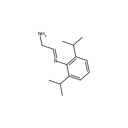 CC(C)c1cccc(C(C)C)c1N=CCN